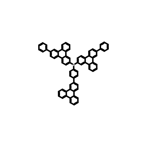 c1ccc(-c2ccc3c4ccc(N(c5ccc(-c6ccc7c8ccccc8c8ccccc8c7c6)cc5)c5ccc6c7ccc(-c8ccccc8)cc7c7ccccc7c6c5)cc4c4ccccc4c3c2)cc1